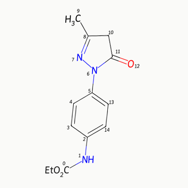 CCOC(=O)Nc1ccc(N2N=C(C)CC2=O)cc1